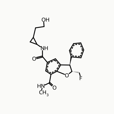 CNC(=O)c1cc(C(=O)NC2CC2CCO)cc2c1O[C@@H](CF)[C@@H]2c1ccccc1